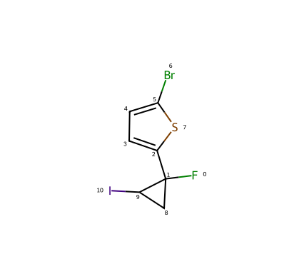 FC1(c2ccc(Br)s2)CC1I